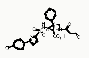 O=C(CCO)NC[C@@]1(c2ccccc2)C(C(=O)O)[C@H]1NS(=O)(=O)c1ccc(-c2ccc(Cl)cc2)s1